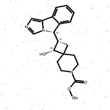 CC(C)(C)OC(=O)N1CCC2(CC1)C[C@@H]([C@H]1c3ccccc3-c3cncn31)[C@H]2O